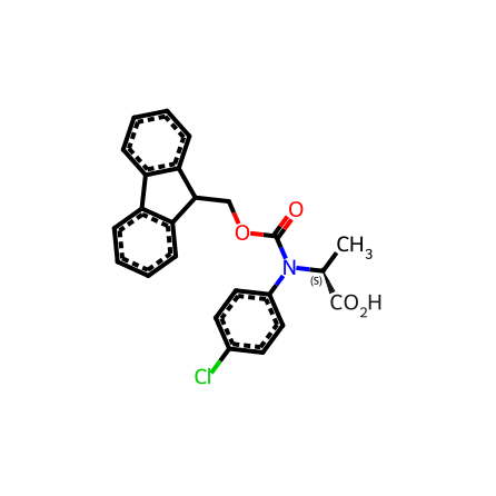 C[C@@H](C(=O)O)N(C(=O)OCC1c2ccccc2-c2ccccc21)c1ccc(Cl)cc1